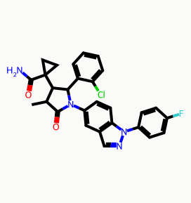 CC1C(=O)N(c2ccc3c(cnn3-c3ccc(F)cc3)c2)C(c2ccccc2Cl)C1C1(C(N)=O)CC1